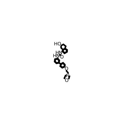 O=C(Nc1cccc(-c2ccc(OCCN3CCOCC3)cc2)c1)Nc1cccc2c1CC(O)CC2